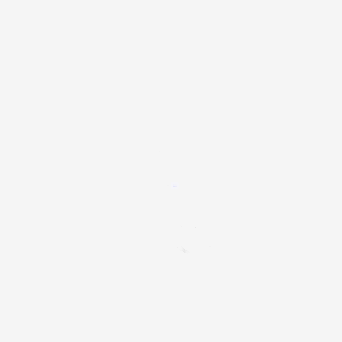 CCCCCC(=O)/C=C/OCc1ccccc1